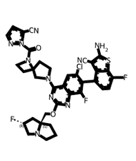 N#Cc1c(N)sc2c(F)ccc(-c3c(Cl)cc4c(N5CCC6(CCN6C(=O)n6nccc6C#N)C5)nc(OC[C@@]56CCCN5C[C@H](F)C6)nc4c3F)c12